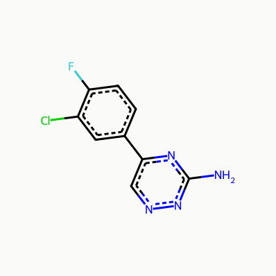 Nc1nncc(-c2ccc(F)c(Cl)c2)n1